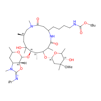 COC1(C)C[C@H](OC2C(C)C(=O)NC(CCCCNC(=O)OC(C)(C)C)CC(=O)N(C)C[C@H](C)CC(C)(O)[C@H](OC3OC(C)CC4[C@H]3O/C(=N/C(C)C)N4C)[C@H]2C)OC(C)[C@@H]1O